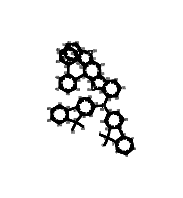 CC1(C)c2ccccc2-c2ccc(N(c3ccc4c(c3)C(C)(C)c3ccccc3-4)c3cccc4c3oc3c(-c5ccccc5-c5ccccc5)c5c(cc34)oc3ccccc35)cc21